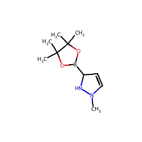 CN1C=CC(B2OC(C)(C)C(C)(C)O2)N1